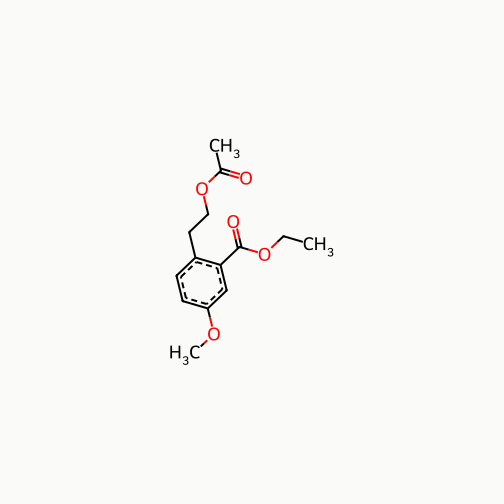 CCOC(=O)c1cc(OC)ccc1CCOC(C)=O